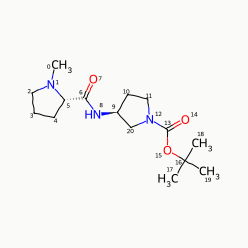 CN1CCC[C@H]1C(=O)N[C@H]1CCN(C(=O)OC(C)(C)C)C1